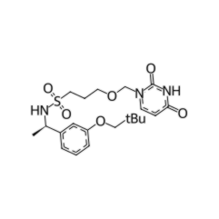 C[C@@H](NS(=O)(=O)CCCOCn1ccc(=O)[nH]c1=O)c1cccc(OCC(C)(C)C)c1